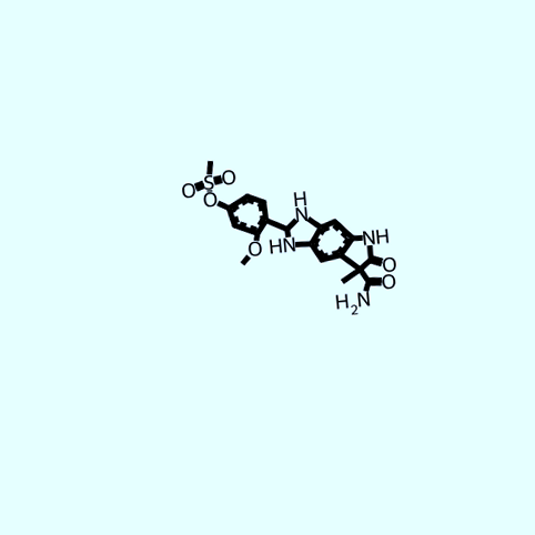 COc1cc(OS(C)(=O)=O)ccc1C1Nc2cc3c(cc2N1)C(C)(C(N)=O)C(=O)N3